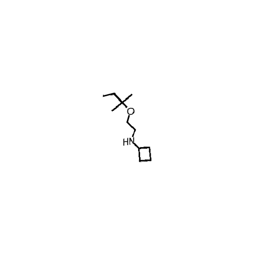 CCC(C)(C)OCCNC1CCC1